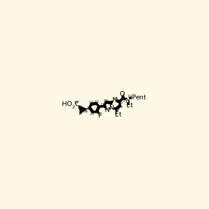 CCCC(C)N(CC)C(=O)c1cc(CC)n2nc(-c3ccc([C@H]4C[C@@H]4C(=O)O)cc3F)cc2n1